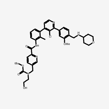 COc1cc(-c2nccc(-c3cccc(NC(=O)c4ccc(CN(CCO)C(=O)OC(C)(C)C)cn4)c3C)c2Cl)ccc1CNC1CCOCC1